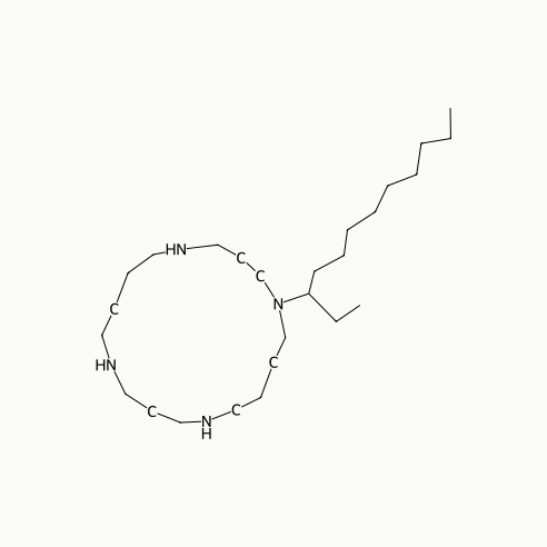 CCCCCCCCCC(CC)N1CCCCNCCCNCCCCNCCC1